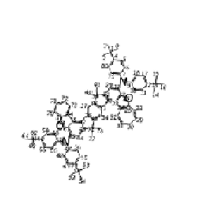 CC(C)(C)c1ccc(N(c2ccc(C(C)(C)C)cc2)c2cc3c(c4c5c(oc24)C=CCC=C5)-c2cc4c(cc2C3(C)C)-c2c(cc(N(c3ccc(C(C)(C)C)cc3)c3ccc(C(C)(C)C)cc3)c3oc5ccccc5c23)C4(C)C)cc1